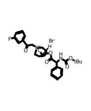 CC(C)(C)OC(=O)NC(C(=O)O[C@H]1C[N+]2(CC(=O)c3cccc(F)c3)CCC1CC2)c1ccccc1.[Br-]